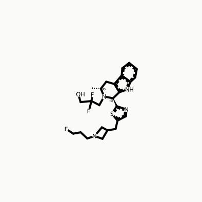 C[C@@H]1Cc2c([nH]c3ccccc23)[C@@H](c2ncc(CC3CN(CCCF)C3)s2)N1CC(F)(F)CO